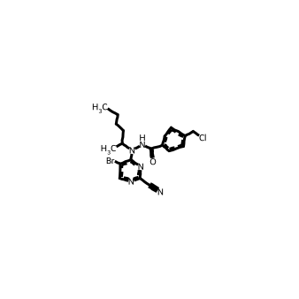 CCCCC(C)N(NC(=O)c1ccc(CCl)cc1)c1nc(C#N)ncc1Br